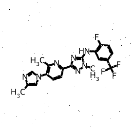 Cc1cn(-c2ccc(-c3nc(Nc4cc(C(F)(F)F)ccc4F)n(C)n3)nc2C)cn1